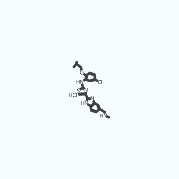 CNCc1ccc2[nH]c(-c3csc(Nc4cc(Cl)ccc4OCC(C)C)n3)nc2c1.Cl